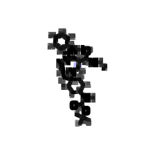 CC(C)(C)OC(=O)NC1CCC(CC#N)(N/C=C(\C(=N)Nc2ccccc2)C(N)=O)CC1